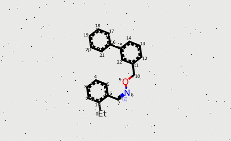 CCc1ccccc1/[C]=N\OCc1cccc(-c2ccccc2)c1